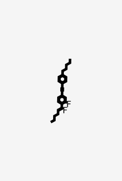 CCCCC=C(F)c1ccc(C#Cc2ccc(CCCCC)cc2)cc1F